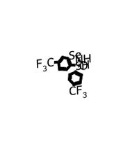 O=[SH]1(c2ccc(C(F)(F)F)cc2)N[Se]c2cc(C(F)(F)F)ccc21